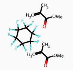 C=C(C)C(=O)OC.C=C(C)C(=O)OC.FC1(F)C(F)(F)C(F)(F)C(F)(F)C(F)(F)C1(F)F